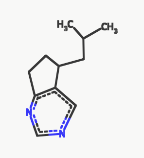 CC(C)CC1CCc2ncncc21